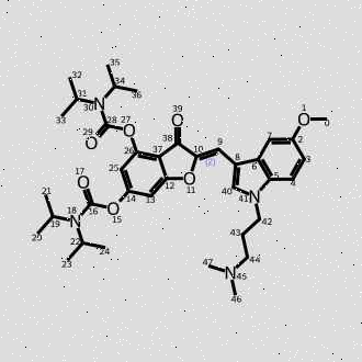 COc1ccc2c(c1)c(/C=C1\Oc3cc(OC(=O)N(C(C)C)C(C)C)cc(OC(=O)N(C(C)C)C(C)C)c3C1=O)cn2CCCN(C)C